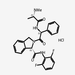 CN[C@@H](C)C(=O)N[C@H](C(=O)N1Cc2ccccc2[C@H]1C(=O)Nc1c(F)cccc1F)c1ccccc1.Cl